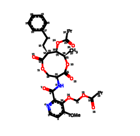 COc1ccnc(C(=O)N[C@H]2COC(=O)[C@H](CCc3ccccc3)[C@@H](OC(=O)C(C)C)[C@H](C)OC2=O)c1OCOC(=O)C(C)C